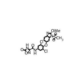 COc1nc2ccc(Oc3c(Cl)cc(NC(=O)c4noc(=O)[nH]4)cc3Cl)cc2n1S(C)(=O)=O